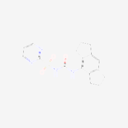 O=C(Nc1c2c(cc3c1CCC3)CCC2)NS(=O)(=O)c1ncccn1